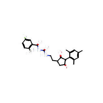 Cc1cc(C)c(C2C(=O)CC(CCNC(=O)NC(=O)c3cc(F)ccc3C(F)(F)F)C2=O)c(C)c1